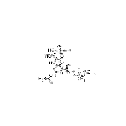 BC(=O)OCc1ccc(O[C@@H]2O[C@H](C(=O)O)[C@@H](O)[C@H](O)[C@H]2O)c(C(=O)NCCC(C)(C)OCC)c1